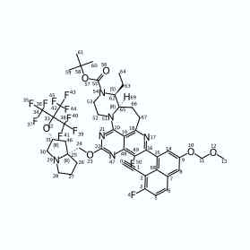 C#Cc1c(F)ccc2cc(OCOC)cc(-c3nc4c5c(nc(OC[C@]67CCCN6C[C@H](OC(C(F)(F)F)(C(F)(F)F)C(F)(F)F)C7)nc5c3F)N3CCN(C(=O)OC(C)(C)C)[C@@H](CC)[C@H]3CC4)c12